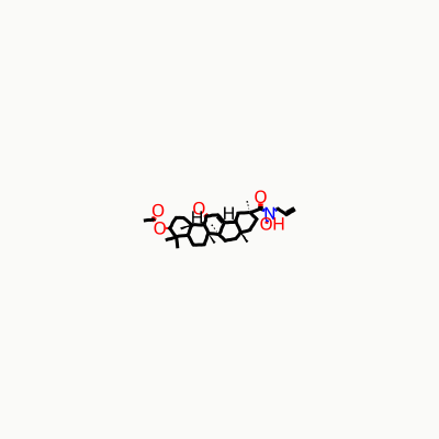 C=CCN(O)C(=O)[C@@]1(C)CC[C@]2(C)CC[C@]3(C)C(=CC(=O)[C@@H]4[C@@]5(C)CC[C@H](OC(C)=O)C(C)(C)C5CC[C@]43C)[C@@H]2C1